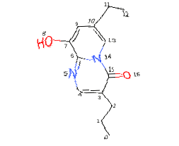 CCCc1cnc2c(O)cc(CC)cn2c1=O